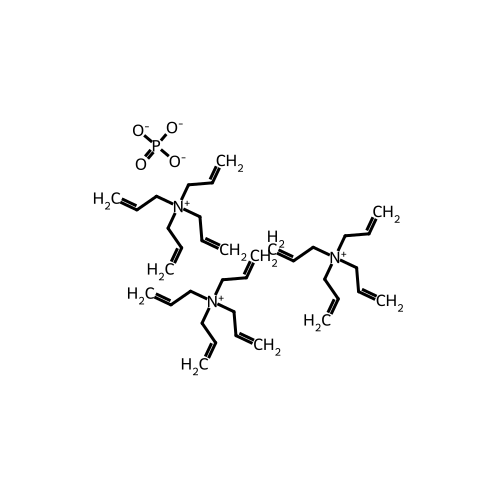 C=CC[N+](CC=C)(CC=C)CC=C.C=CC[N+](CC=C)(CC=C)CC=C.C=CC[N+](CC=C)(CC=C)CC=C.O=P([O-])([O-])[O-]